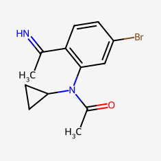 CC(=N)c1ccc(Br)cc1N(C(C)=O)C1CC1